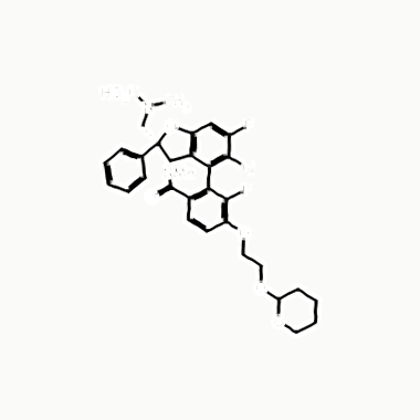 CNC(=O)c1ccc(OCCOC2CCCCO2)c(F)c1-c1c(Cl)c(F)cc2c1C[C@@](CN(C)C(=O)O)(c1ccccc1)O2